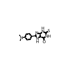 CN(C)c1ccc(-c2nc3[nH]c(=S)[nH]c(=O)c3[nH]2)cc1